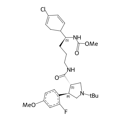 COC(=O)N[C@@H](CCCNC(=O)[C@@H]1CN(C(C)(C)C)C[C@H]1c1ccc(OC)cc1F)C1C=CC(Cl)=CC1